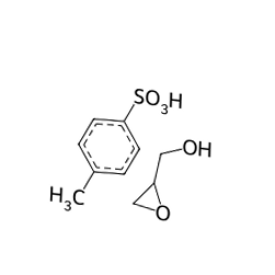 Cc1ccc(S(=O)(=O)O)cc1.OCC1CO1